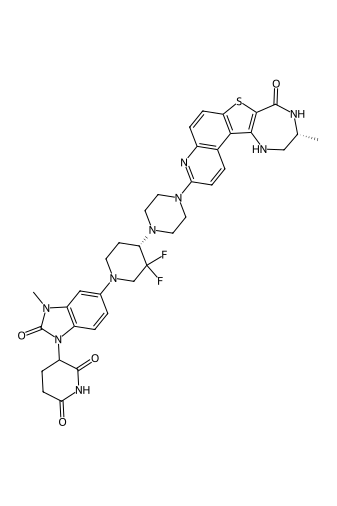 C[C@@H]1CNc2c(sc3ccc4nc(N5CCN([C@H]6CCN(c7ccc8c(c7)n(C)c(=O)n8C7CCC(=O)NC7=O)CC6(F)F)CC5)ccc4c23)C(=O)N1